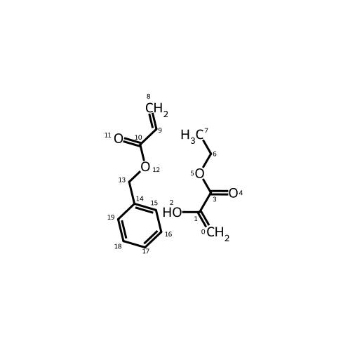 C=C(O)C(=O)OCC.C=CC(=O)OCc1ccccc1